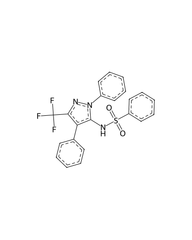 O=S(=O)(Nc1c(-c2ccccc2)c(C(F)(F)F)nn1-c1ccccc1)c1ccccc1